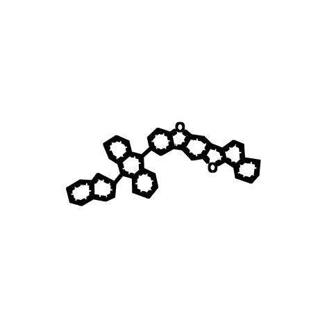 c1ccc2cc(-c3c4ccccc4c(-c4ccc5oc6cc7c(cc6c5c4)oc4c5ccccc5ccc74)c4ccccc34)ccc2c1